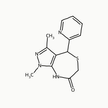 Cc1nn(C)c2c1C(c1ccccn1)SCC(=O)N2